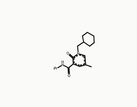 Cc1cc(C(=O)NC(C)C)c(=O)n(CC2CCCCC2)c1